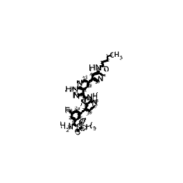 CCCCC(=O)Nc1cncc(-c2cnc3[nH]nc(-c4nc5c(-c6cc(F)cc(C(N)S(C)(=O)=O)c6)ccnc5[nH]4)c3c2)c1